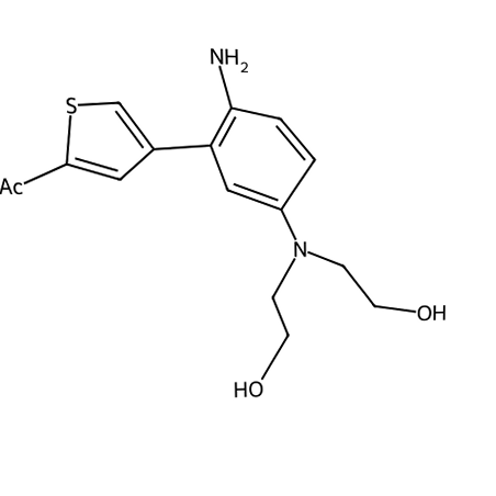 CC(=O)c1cc(-c2cc(N(CCO)CCO)ccc2N)cs1